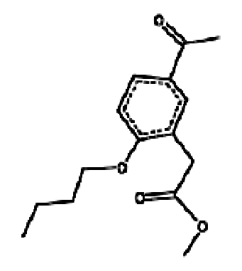 CCCCOc1ccc(C(C)=O)cc1CC(=O)OC